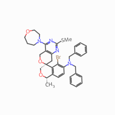 CSc1nc2c(c(N3CCCOCC3)n1)CO[C@@]1(CO[C@@H](C)c3ccc(N(Cc4ccccc4)Cc4ccccc4)c(Br)c31)C2